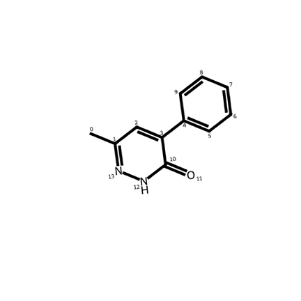 Cc1cc(-c2ccccc2)c(=O)[nH]n1